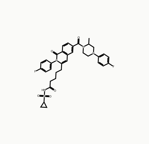 CC1CN(c2ccc(F)cc2)CCN1C(=O)c1ccc2c(=O)n(-c3ccc(F)cc3)c(CCCCC(=O)NS(=O)(=O)C3CC3)cc2c1